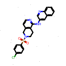 O=S(=O)(c1ccc(Cl)cc1)N1CCc2c(ccnc2Nc2cnc3ccccc3c2)C1